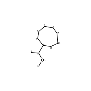 COC(C)C1CCCCCCC1